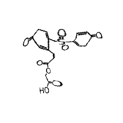 O=C(O)COC(=O)CC1=CC(=O)CC=C1S(=O)(=O)C1=CCC(=O)C=C1